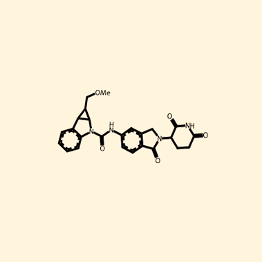 COCC1C2c3ccccc3N(C(=O)Nc3ccc4c(c3)CN(C3CCC(=O)NC3=O)C4=O)C12